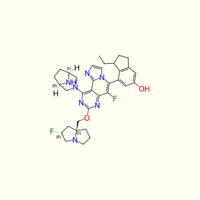 CCC1CCc2cc(O)cc(-c3c(F)c4nc(OC[C@@]56CCCN5C[C@H](F)C6)nc(N5C[C@H]6CC[C@@H](C5)N6)c4c4nccn34)c21